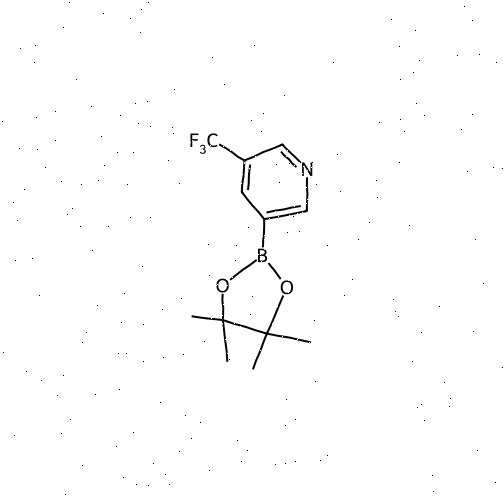 CC1(C)OB(c2cncc(C(F)(F)F)c2)OC1(C)C